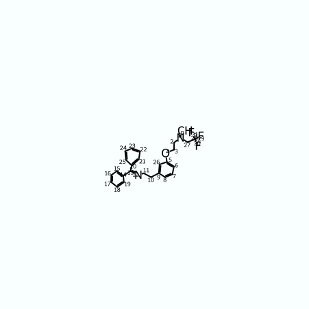 CN(CCOc1cccc(CCN=C(c2ccccc2)c2ccccc2)c1)CC(F)(F)F